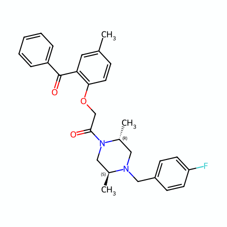 Cc1ccc(OCC(=O)N2C[C@H](C)N(Cc3ccc(F)cc3)C[C@H]2C)c(C(=O)c2ccccc2)c1